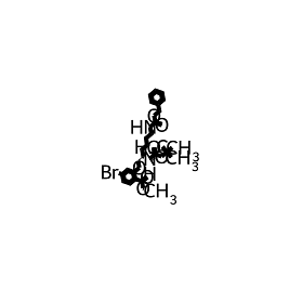 COC(=O)c1ccc(Br)cc1OC[C@H](CCCCNC(=O)OCc1ccccc1)NC(=O)OC(C)(C)C